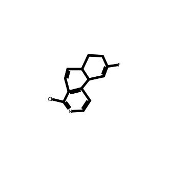 FC1=CC2c3ccnc(Cl)c3C=CC2CC1